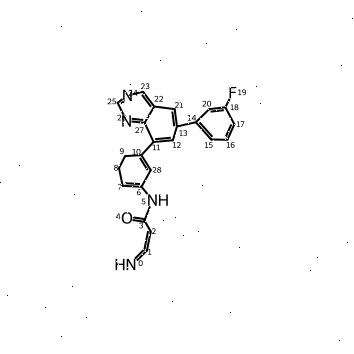 N=C=CC(=O)NC1=CCCC(c2cc(-c3cccc(F)c3)cc3cncnc23)=C1